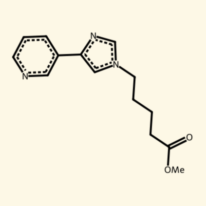 COC(=O)CCCCn1cnc(-c2cccnc2)c1